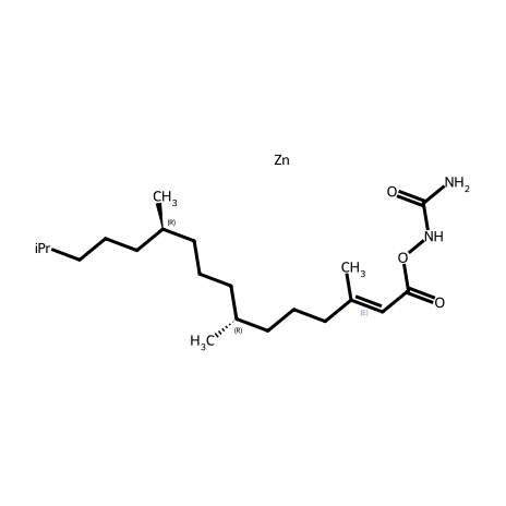 C/C(=C\C(=O)ONC(N)=O)CCC[C@H](C)CCC[C@H](C)CCCC(C)C.[Zn]